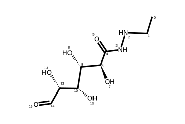 CCNNC(=O)[C@@H](O)[C@@H](O)[C@H](O)[C@@H](O)C=O